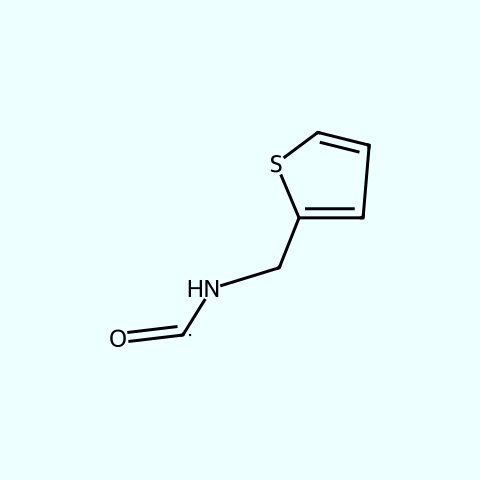 O=[C]NCc1cccs1